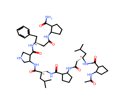 CC(=O)NC1CCCC1C(=O)N[C@H](CC(=O)NC1CCCC1C(=O)NC[C@H](CC(C)C)C(=O)NC1CNCC1C(=O)N[C@H](CC(=O)NC1CCCC1C(N)=O)Cc1ccccc1)CC(C)C